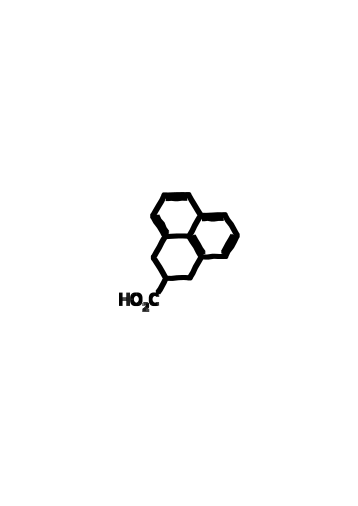 O=C(O)C1Cc2cccc3cccc(c23)C1